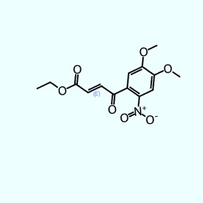 CCOC(=O)/C=C/C(=O)c1cc(OC)c(OC)cc1[N+](=O)[O-]